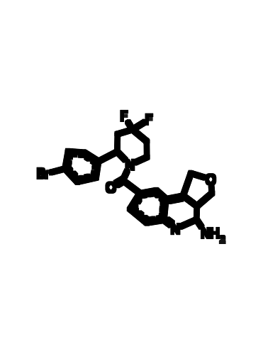 NC1N=c2ccc(C(=O)N3CCC(F)(F)CC3c3ccc(Br)cc3)cc2=C2COCC21